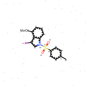 COc1cccc2c1c(I)cn2S(=O)(=O)c1ccc(C)cc1